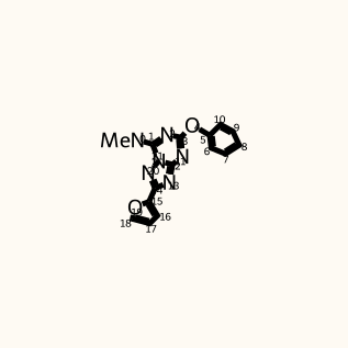 CNc1nc(Oc2ccccc2)nc2nc(-c3ccco3)nn12